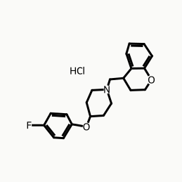 Cl.Fc1ccc(OC2CCN(CC3CCOc4ccccc43)CC2)cc1